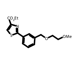 CCOC(=O)c1csc(-c2cccc(COCCOC)c2)n1